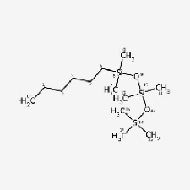 [CH2]CCCCC[Si](C)(C)O[Si](C)(C)O[Si](C)(C)C